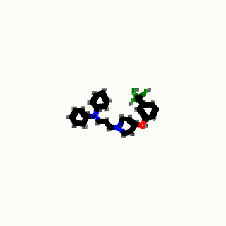 FC(F)(F)c1cccc(OC2=CCN(CCCN(c3ccccc3)c3ccccc3)CC2)c1